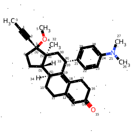 CC#C[C@]1(OC)CC[C@H]2[C@@H]3CCC4=CC(=O)CCC4=C3[C@@H](c3ccc(N(C)C)cc3)C[C@@]21C